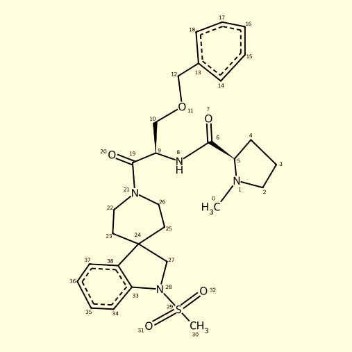 CN1CCC[C@@H]1C(=O)N[C@H](COCc1ccccc1)C(=O)N1CCC2(CC1)CN(S(C)(=O)=O)c1ccccc12